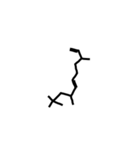 C=CC(C)CCC=CC(C)CC(C)(C)C